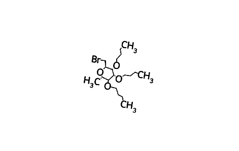 CCCCO[C@@H]1[C@@H](OCCCC)[C@H](C)O[C@@H](CBr)[C@@H]1OCCCC